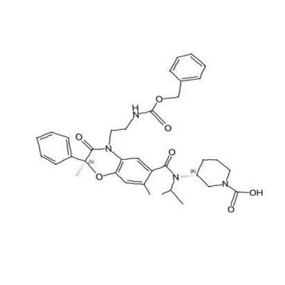 Cc1cc2c(cc1C(=O)N(C(C)C)[C@@H]1CCCN(C(=O)O)C1)N(CCNC(=O)OCc1ccccc1)C(=O)[C@](C)(c1ccccc1)O2